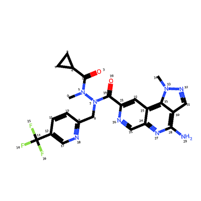 CN(C(=O)C1CC1)N(Cc1ccc(C(F)(F)F)cn1)C(=O)c1cc2c(cn1)nc(N)c1cnn(C)c12